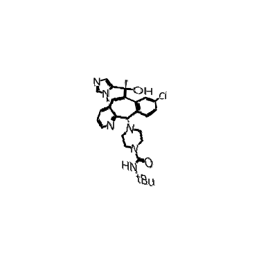 Cn1cncc1[C@](C)(O)C1=Cc2cccnc2[C@@H](N2CCN(C(=O)NC(C)(C)C)CC2)c2ccc(Cl)cc21